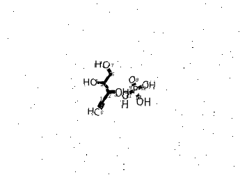 C#CC(O)C(O)CO.O=P(O)(O)O